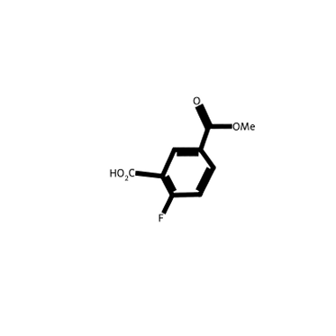 COC(=O)c1ccc(F)c(C(=O)O)c1